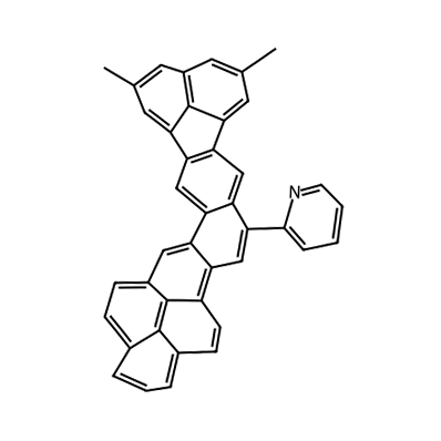 Cc1cc2c3c(cc(C)cc3c1)-c1cc3c(cc1-2)c(-c1ccccn1)cc1c3cc2ccc3cccc4ccc1c2c34